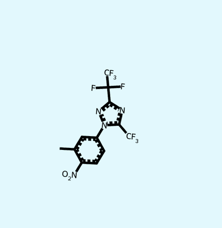 Cc1cc(-n2nc(C(F)(F)C(F)(F)F)nc2C(F)(F)F)ccc1[N+](=O)[O-]